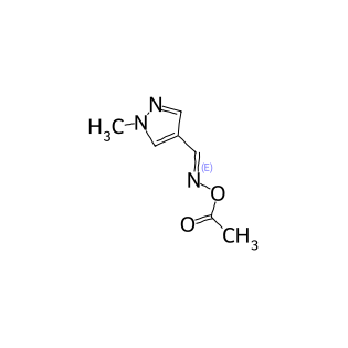 CC(=O)O/N=C/c1cnn(C)c1